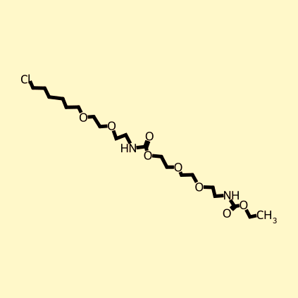 CCOC(=O)NCCOCCOCCOC(=O)NCCOCCOCCCCCCCl